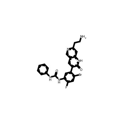 NCCc1cc2[nH]c(=O)c(-c3cc(NC(=O)Nc4ccccc4)c(F)cc3Br)cc2cn1